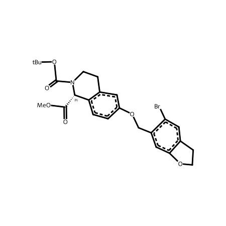 COC(=O)[C@H]1c2ccc(OCc3cc4c(cc3Br)CCO4)cc2CCN1C(=O)OC(C)(C)C